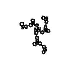 c1cc(-c2nc(-c3cccc(-n4c5ccccc5c5cc(-c6ccc7sc8ccccc8c7c6)ccc54)c3)c3cc(-c4ccc(-n5c6ccccc6c6cc(-c7ccc8sc9ccccc9c8c7)ccc65)cc4)ccc3n2)cc(-n2c3ccccc3c3cc(-c4ccc5sc6ccccc6c5c4)ccc32)c1